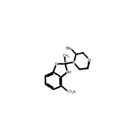 CC(C)(C)C1COCCN1[C@]1(C)Nc2c(cccc2C(=O)O)O1